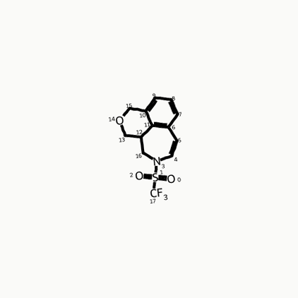 O=S(=O)(N1C=Cc2cccc3c2C(COC3)C1)C(F)(F)F